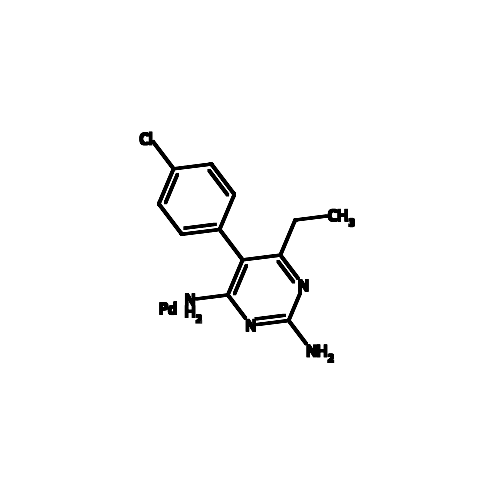 CCc1nc(N)nc(N)c1-c1ccc(Cl)cc1.[Pd]